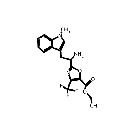 CCOC(=O)c1oc([C@H](N)Cc2cn(C)c3ccccc23)nc1C(F)(F)F